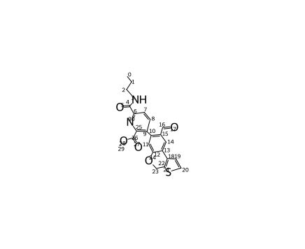 CCCNC(=O)c1ccc(-c2cc3c(cc2C=O)-c2ccsc2CO3)c(C(=O)OC)n1